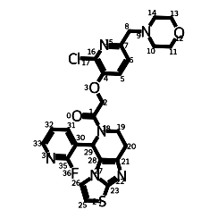 O=C(COc1ccc(CN2CCOCC2)nc1Cl)N1CCc2nc3sccn3c2C1c1cccnc1F